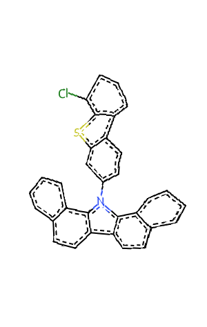 Clc1cccc2c1sc1cc(-n3c4c5ccccc5ccc4c4ccc5ccccc5c43)ccc12